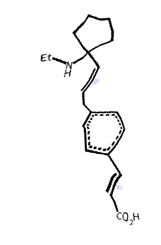 CCNC1(/C=C/c2ccc(/C=C/C(=O)O)cc2)CCCC1